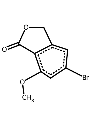 COc1cc(Br)cc2c1C(=O)OC2